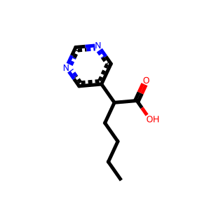 CCCCC(C(=O)O)c1cncnc1